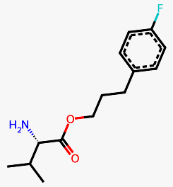 CC(C)[C@H](N)C(=O)OCCCc1ccc(F)cc1